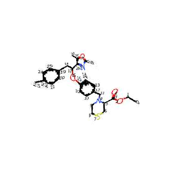 CCOC(=O)C1CSCCN1Cc1ccc(OC(Cc2ccc(C)cc2)c2ncoc2C)cc1